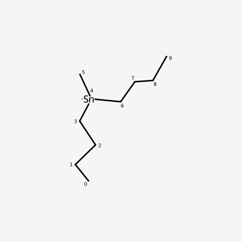 CCC[CH2][Sn]([CH3])[CH2]CCC